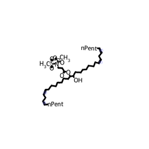 CCCCC/C=C\C/C=C\CCCCCCCC(O)C(CCCCCCC/C=C\C/C=C\CCCCC)OC(=O)CCN(S(C)(=O)=O)S(C)(=O)=O